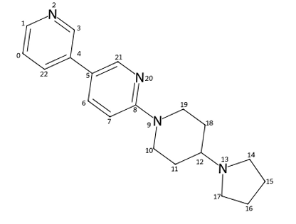 c1cncc(-c2ccc(N3CCC(N4CCCC4)CC3)nc2)c1